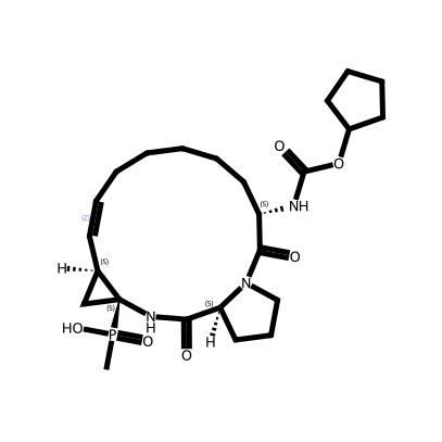 CP(=O)(O)[C@@]12C[C@H]1/C=C\CCCCC[C@H](NC(=O)OC1CCCC1)C(=O)N1CCC[C@H]1C(=O)N2